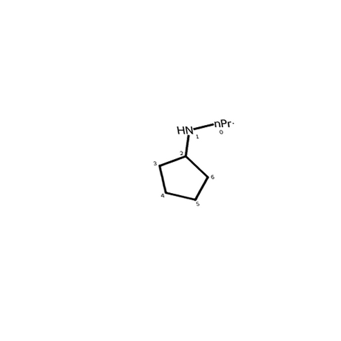 CC[CH]NC1CCCC1